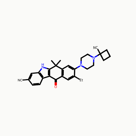 CCc1cc2c(cc1N1CCN(C3(C#N)CCC3)CC1)C(C)(C)c1[nH]c3cc(C#N)ccc3c1C2=O